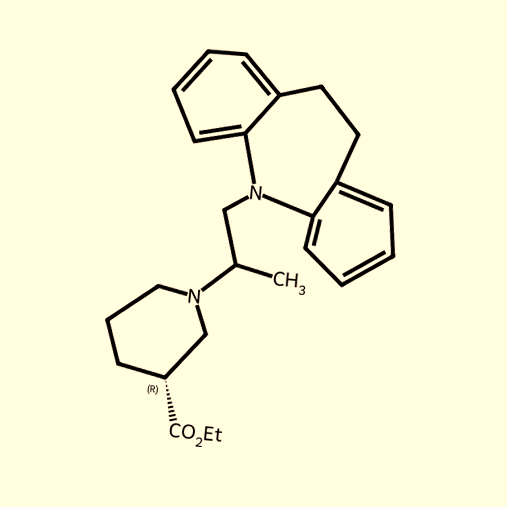 CCOC(=O)[C@@H]1CCCN(C(C)CN2c3ccccc3CCc3ccccc32)C1